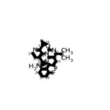 CC(C)c1nc(=O)n(-c2c(C3CC3)ccnc2C2CC2)c2nc(-c3c(N)cccc3F)c(F)cc12